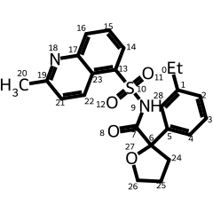 CCc1cccc(C2(C(=O)NS(=O)(=O)c3cccc4nc(C)ccc34)CCCO2)c1